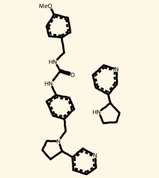 COc1ccc(CNC(=O)Nc2ccc(CN3CCCC3c3cccnc3)cc2)cc1.c1cncc(C2CCCN2)c1